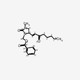 CCCCCC(=O)C=CC1CN(C)C(=O)N1COC(=O)c1ccccc1